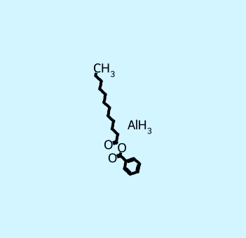 CCCCCCCCCCCC(=O)OC(=O)c1ccccc1.[AlH3]